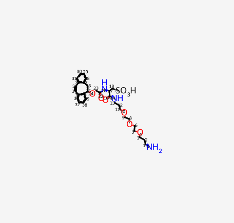 NCCCOCCOCCOCCCNC(=O)C(CS(=O)(=O)O)NC(=O)COC1Cc2ccccc2C#Cc2ccccc21